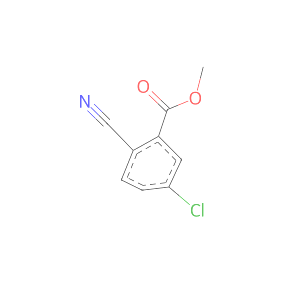 COC(=O)c1cc(Cl)ccc1C#N